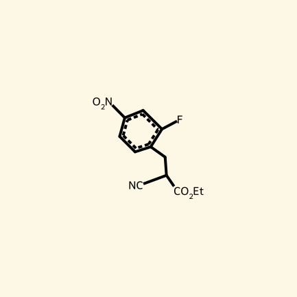 CCOC(=O)C(C#N)Cc1ccc([N+](=O)[O-])cc1F